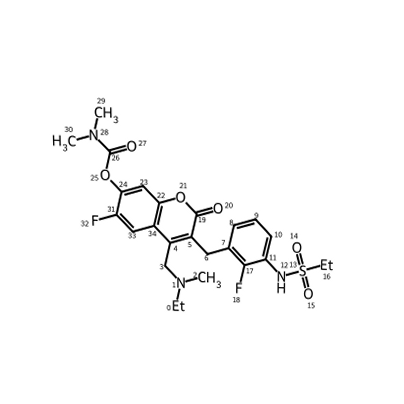 CCN(C)Cc1c(Cc2cccc(NS(=O)(=O)CC)c2F)c(=O)oc2cc(OC(=O)N(C)C)c(F)cc12